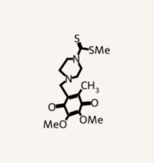 COC1=C(OC)C(=O)C(CN2CCN(C(=S)SC)CC2)=C(C)C1=O